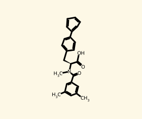 Cc1cc(C)cc(C(=O)N(C)[C@@H](Cc2ccc(-c3ccccc3)cc2)C(=O)O)c1